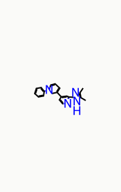 Cc1nc(-c2cc(C3=CC=CN(c4ccccc4)C3)ccn2)[nH]c1C